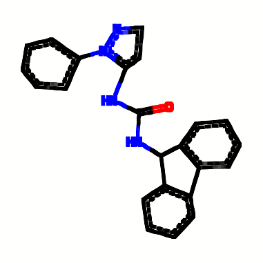 O=C(Nc1ccnn1-c1ccccc1)NC1c2ccccc2-c2ccccc21